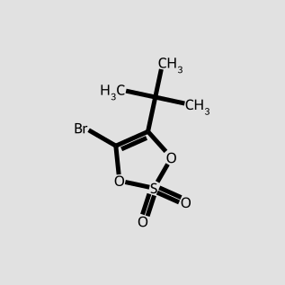 CC(C)(C)C1=C(Br)OS(=O)(=O)O1